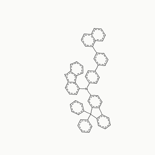 c1ccc(C2(c3ccccc3)c3ccccc3-c3ccc(N(c4ccc(-c5cccc(-c6cccc7ccccc67)c5)cc4)c4cccc5sc6ccccc6c45)cc32)cc1